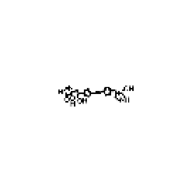 O=c1[nH]cnc(CC(CO)c2ccc(C#Cc3ccc(CN4CCNC[C@H]4CO)cc3)cc2)c1O